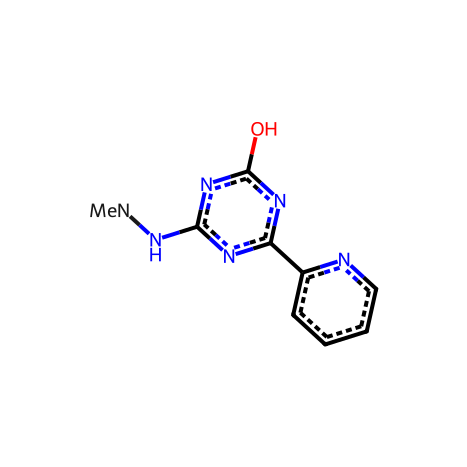 CNNc1nc(O)nc(-c2ccccn2)n1